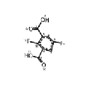 O=C(O)c1cc(I)cc(C(=O)O)c1F